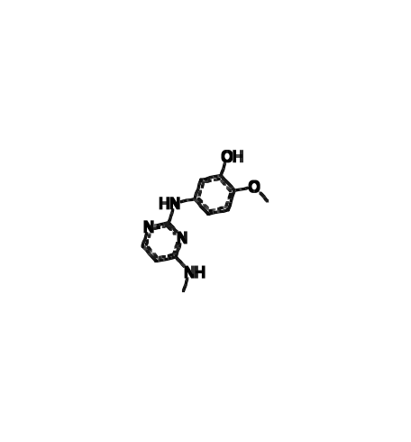 CNc1ccnc(Nc2ccc(OC)c(O)c2)n1